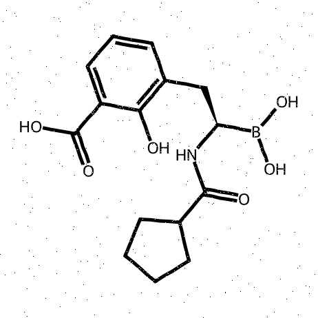 O=C(O)c1cccc(C[C@H](NC(=O)C2CCCC2)B(O)O)c1O